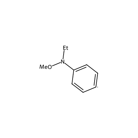 CCN(OC)c1cc[c]cc1